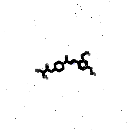 C=C(C)C(=O)OC1CCN(C(=O)/C=C/c2ccc(OC)cc2OC)CC1